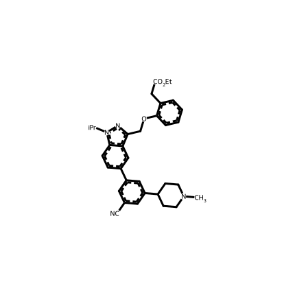 CCOC(=O)Cc1ccccc1OCc1nn(C(C)C)c2ccc(-c3cc(C#N)cc(C4CCN(C)CC4)c3)cc12